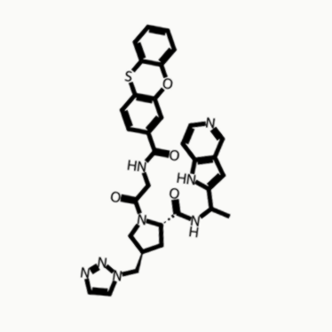 CC(NC(=O)[C@@H]1C[C@@H](Cn2ccnn2)CN1C(=O)CNC(=O)c1ccc2c(c1)Oc1ccccc1S2)c1cc2cnccc2[nH]1